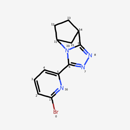 Brc1cccc(-c2nnc3n2C2CCC3C2)n1